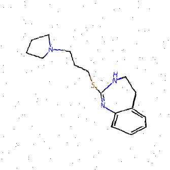 c1ccc2c(c1)CCNC(SCCCN1CCCC1)=N2